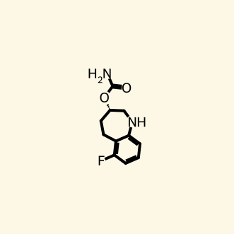 NC(=O)O[C@H]1CCc2c(F)cccc2NC1